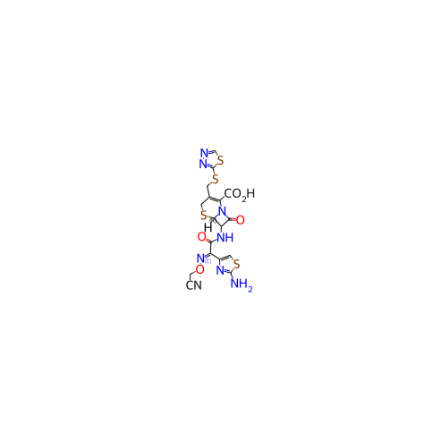 N#CCO/N=C(/C(=O)NC1C(=O)N2C(C(=O)O)=C(CSc3nncs3)CS[C@H]12)c1csc(N)n1